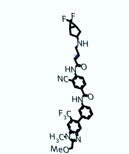 COCc1nc2cc(-c3cccc(NC(=O)c4ccc(NC(=O)/C=C/CNC5CC6C(C5)C6(F)F)c(C#N)c4)c3)c(C(F)(F)F)cc2n1C